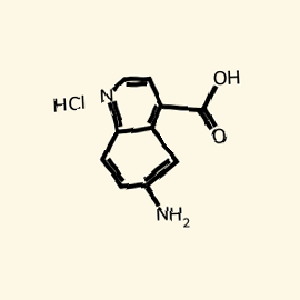 Cl.Nc1ccc2nccc(C(=O)O)c2c1